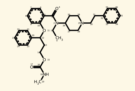 CCN(C(=O)c1ccccc1OC(CCOC(=O)NC)c1ccccc1)C1CCN(CCc2ccccc2)CC1